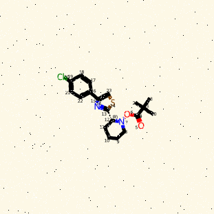 CC(C)(C)C(=O)ON1CCCC[C@@H]1c1nc(-c2ccc(Cl)cc2)cs1